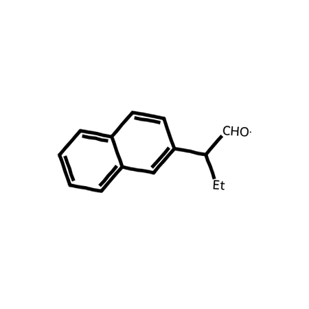 CCC([C]=O)c1ccc2ccccc2c1